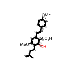 C=C(C)CCc1c(OC)cc(C=Cc2ccc(OC)cc2)c(C(=O)O)c1O